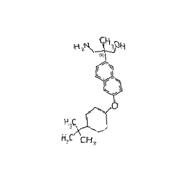 CC(C)(C)C1CCC(Oc2ccc3cc([C@](C)(CN)CO)ccc3c2)CC1